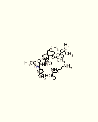 COCC1=C(C(=O)OC(C)OC(=O)OC(C)C)N2C(=O)[C@@H](NC(=O)/C(=N\OC)c3csc(N)n3)[C@H]2SC1.NCCCCC(N)C(=O)O